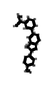 Nc1ccc(-c2cc3ccc(-c4ccnc(C(=O)O)n4)cc3[nH]2)cc1